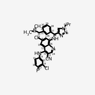 CC(C)n1cc([C@@H](Nc2cc(Cl)cc3c(Nc4ccc(F)c(Cl)c4)c(C#N)cnc23)c2cccc(CN(C)C)c2)nn1